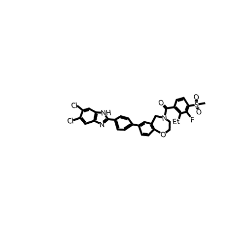 CCc1c(C(=O)N2CCOc3ccc(-c4ccc(-c5nc6cc(Cl)c(Cl)cc6[nH]5)cc4)cc3C2)ccc(S(C)(=O)=O)c1F